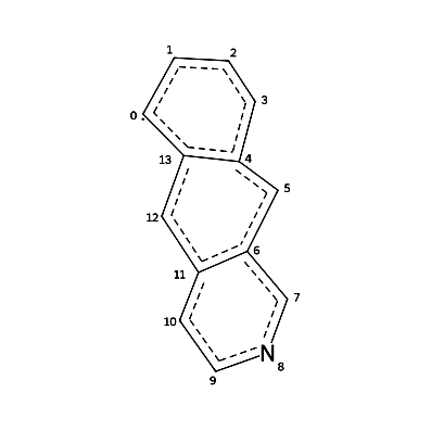 [c]1cccc2cc3cnccc3cc12